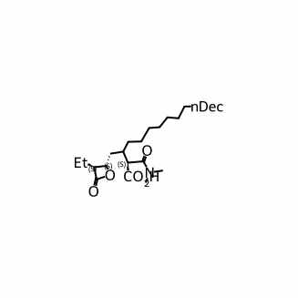 CCCCCCCCCCCCCCCCCC(C[C@@H]1OC(=O)[C@H]1CC)[C@H](C(=O)O)C(=O)N(C)C